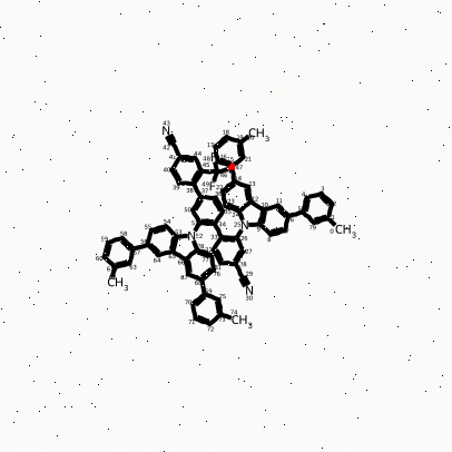 Cc1cccc(-c2ccc3c(c2)c2cc(-c4cccc(C)c4)ccc2n3-c2cc(C#N)ccc2-c2ccc(-c3ccc(C#N)cc3C(F)(F)F)cc2-n2c3ccc(-c4cccc(C)c4)cc3c3cc(-c4cccc(C)c4)ccc32)c1